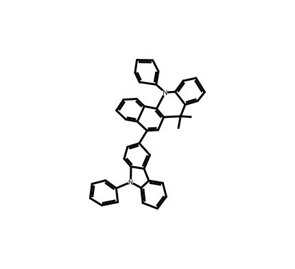 CC1(C)c2ccccc2N(c2ccccc2)c2c1cc(-c1ccc3c(c1)c1ccccc1n3-c1ccccc1)c1ccccc21